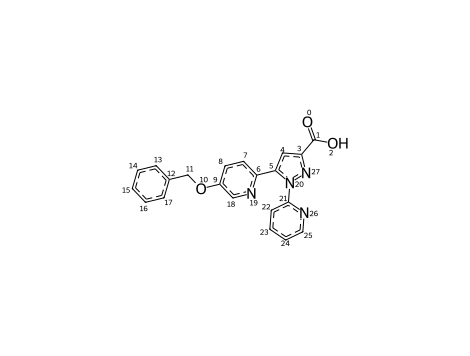 O=C(O)c1cc(-c2ccc(OCc3ccccc3)cn2)n(-c2ccccn2)n1